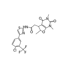 CC1Oc2c(c(=O)n(C)c(=O)n2C)C1CC(=O)Nc1nc(-c2ccc(Cl)c(C(F)(F)F)c2)cs1